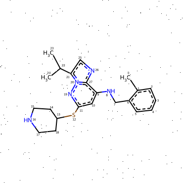 Cc1ccccc1CNc1cc(SC2CCNCC2)nn2c(C(C)C)cnc12